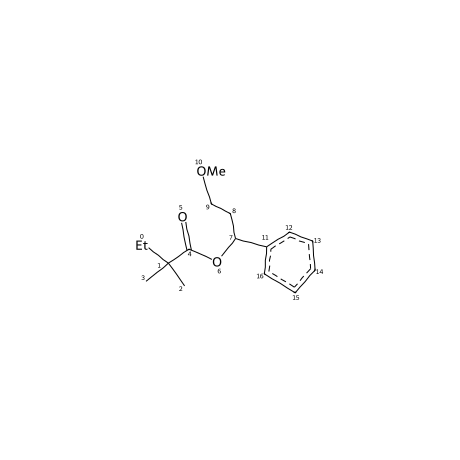 CCC(C)(C)C(=O)OC(CCOC)c1ccccc1